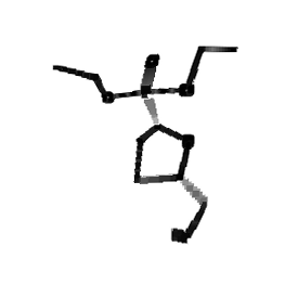 CCOP(=O)(OCC)[C@H]1CC[C@@H](CBr)O1